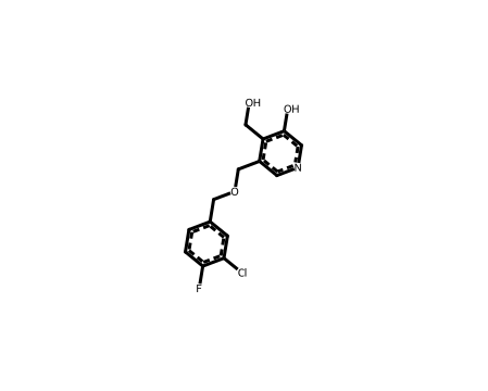 OCc1c(O)cncc1COCc1ccc(F)c(Cl)c1